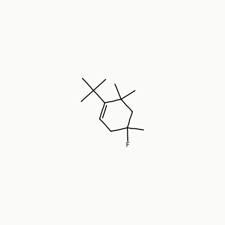 CC1(F)CC=C(C(C)(C)C)C(C)(C)C1